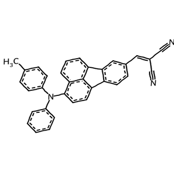 Cc1ccc(N(c2ccccc2)c2ccc3c4c(cccc24)-c2cc(C=C(C#N)C#N)ccc2-3)cc1